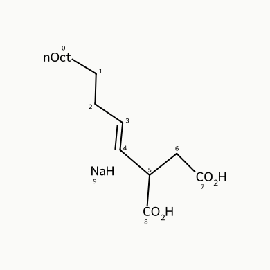 CCCCCCCCCCC=CC(CC(=O)O)C(=O)O.[NaH]